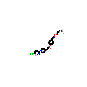 C=CCON=Cc1ccc(OCCC2CCN(c3ccc(Cl)nn3)CC2)cc1